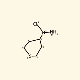 NN(Cl)C1CCSCC1